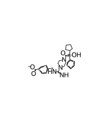 COC(=O)c1ccc(CNC(=N)N2CCN(C(=O)[C@](O)(c3ccccc3)C3CCCC3)CC2)cc1